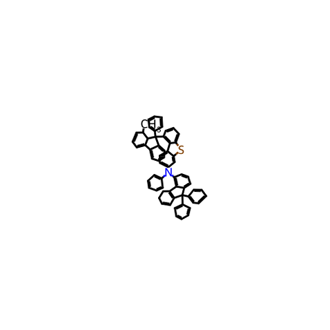 CC1C=CC=C2c3ccccc3C(c3ccccc3)(c3cccc4sc5cc(N(c6ccccc6)c6cccc7c6C6=C(C=CCC6)C7(c6ccccc6)c6ccccc6)ccc5c34)C21